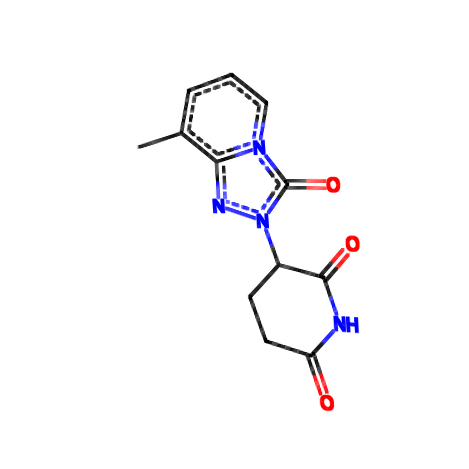 Cc1cccn2c(=O)n(C3CCC(=O)NC3=O)nc12